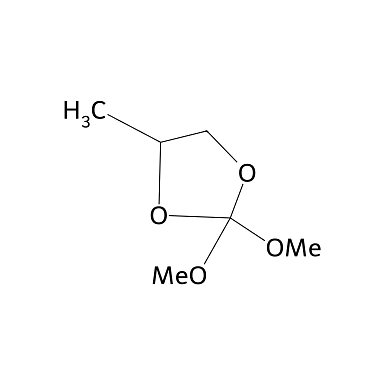 COC1(OC)OCC(C)O1